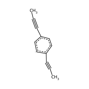 CC#Cc1[c]cc(C#CC)cc1